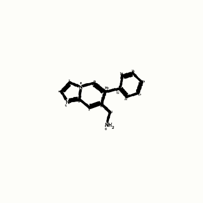 NCc1cc2nccn2cc1-c1ccccc1